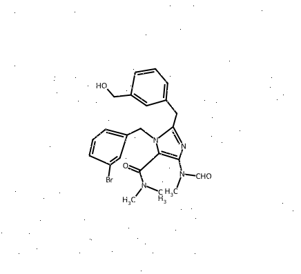 CN(C)C(=O)c1c(N(C)C=O)nc(Cc2cccc(CO)c2)n1Cc1cccc(Br)c1